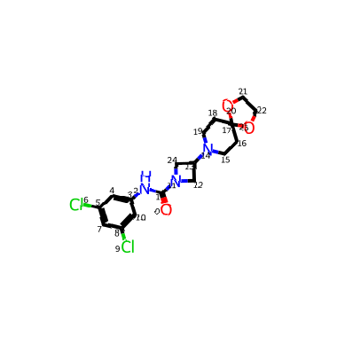 O=C(Nc1cc(Cl)cc(Cl)c1)N1CC(N2CCC3(CC2)OCCO3)C1